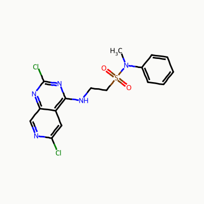 CN(c1ccccc1)S(=O)(=O)CCNc1nc(Cl)nc2cnc(Cl)cc12